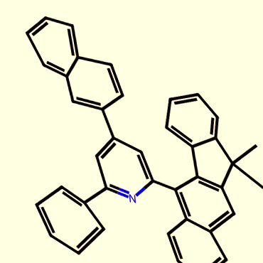 CC1(C)c2ccccc2-c2c1cc1ccccc1c2-c1cc(-c2ccc3ccccc3c2)cc(-c2ccccc2)n1